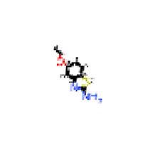 CCOc1ccc2sc(N)nc2c1